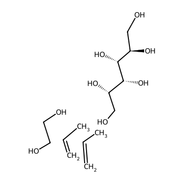 C=CC.C=CC.OCCO.OC[C@@H](O)[C@@H](O)[C@H](O)[C@@H](O)CO